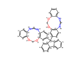 C1=Nc2ccccc2OCOc2cc(C3(c4ccc5c(c4)OCOc4ccccc4N=C=N5)c4ccccc4-c4ccccc43)ccc2N=1